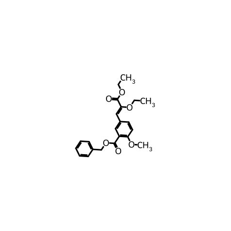 CCOC(=O)C(=Cc1ccc(OC)c(C(=O)OCc2ccccc2)c1)OCC